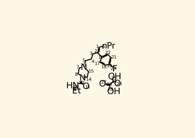 CCCC=C(CCCN1CCN(C(=O)NCC)CC1)c1ccc(F)cc1.O=C(O)C(=O)O